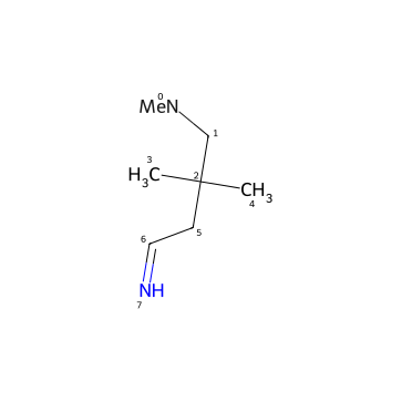 CNCC(C)(C)CC=N